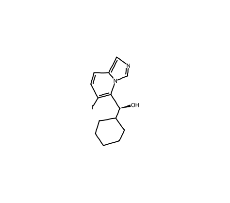 O[C@H](c1c(I)ccc2cncn12)C1CCCCC1